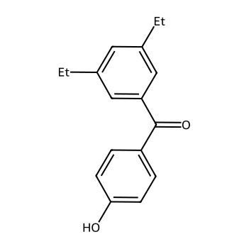 CCc1cc(CC)cc(C(=O)c2ccc(O)cc2)c1